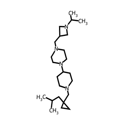 CC(C)CC1(CN2CCC(N3CCN(CC4CN(C(C)C)C4)CC3)CC2)CC1